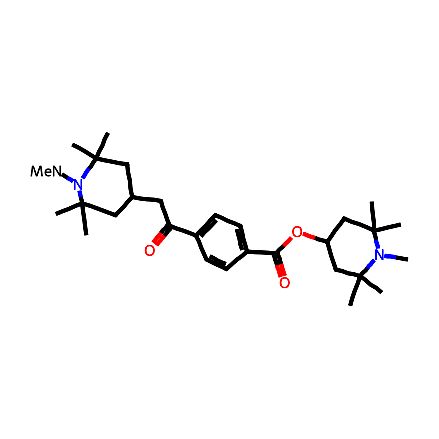 CNN1C(C)(C)CC(CC(=O)c2ccc(C(=O)OC3CC(C)(C)N(C)C(C)(C)C3)cc2)CC1(C)C